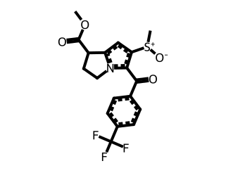 COC(=O)C1CCn2c1cc([S+](C)[O-])c2C(=O)c1ccc(C(F)(F)F)cc1